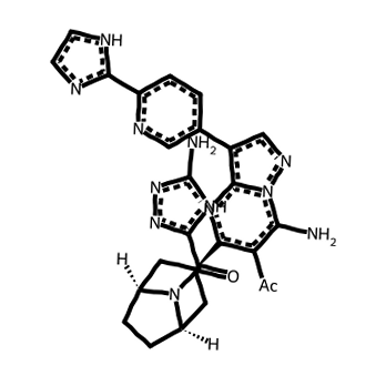 CC(=O)c1c([C@H]2C[C@H]3CC[C@@H](C2)N3C(=O)c2nnc(N)[nH]2)nc2c(-c3ccc(-c4ncc[nH]4)nc3)cnn2c1N